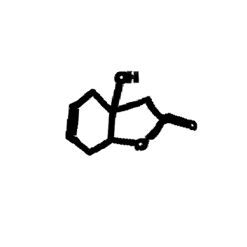 O=C1CC2(O)CC=CCC2O1